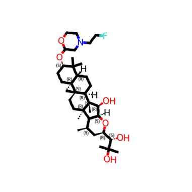 C[C@@H]1C[C@H]([C@H](O)C(C)(C)O)O[C@H]2C1[C@@]1(C)CC[C@@]34C[C@@]35CC[C@H](OC3CN(CCF)CCO3)C(C)(C)[C@@H]5CC[C@H]4[C@]1(C)[C@H]2O